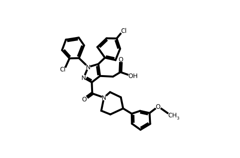 COc1cccc(C2CCN(C(=O)c3nn(-c4ccccc4Cl)c(-c4ccc(Cl)cc4)c3CC(=O)O)CC2)c1